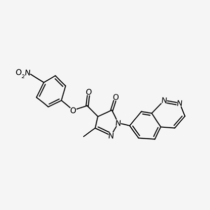 CC1=NN(c2ccc3ccnnc3c2)C(=O)C1C(=O)Oc1ccc([N+](=O)[O-])cc1